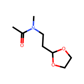 CC(=O)N(C)CCC1OCCO1